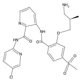 C[C@H](CN)COc1cc(S(C)(=O)=O)ccc1C(=O)Nc1cccnc1C(=O)Nc1ccc(Cl)cn1